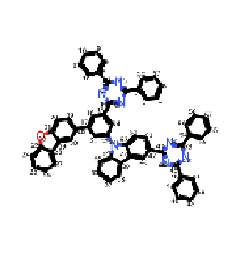 c1ccc(-c2nc(-c3ccccc3)nc(-c3cc(-c4ccc5oc6ccccc6c5c4)cc(-n4c5ccccc5c5cc(-c6nc(-c7ccccc7)nc(-c7ccccc7)n6)ccc54)c3)n2)cc1